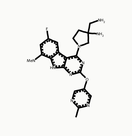 CNc1cc(F)cc2c1[nH]c1nc(Oc3cnc(C)nc3)nc(N3CCC(N)(CN)C3)c12